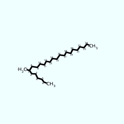 [CH2]C(CCCCCC)CCCCCCCCCCCCCCCCCC